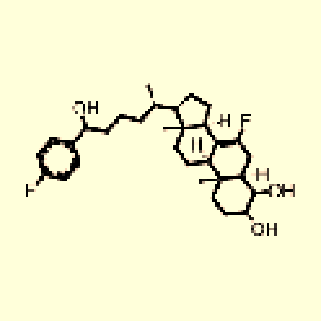 C[C@H](CCCC(O)c1ccc(F)cc1)[C@H]1CC[C@H]2C3=C(F)C[C@H]4[C@@H](O)[C@@H](O)CC[C@]4(C)[C@H]3CC[C@]12C